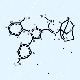 N#CNC(=NC12CN3CN(CN(C3)C1)C2)c1cc(-c2ccc(Cl)cc2)n(-c2ccccc2Cl)n1